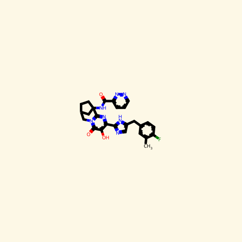 Cc1cc(Cc2cnc(-c3nc4n(c(=O)c3O)CC3CCC4(NC(=O)c4cccnn4)C3)[nH]2)ccc1F